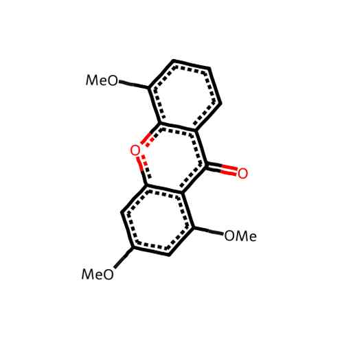 COc1cc(OC)c2c(=O)c3cccc(OC)c3oc2c1